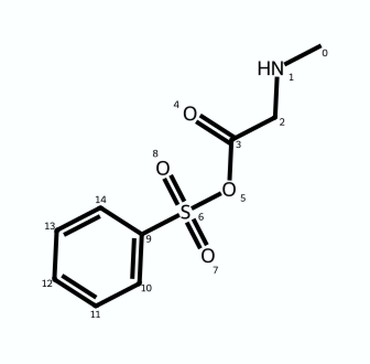 CNCC(=O)OS(=O)(=O)c1ccccc1